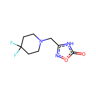 O=c1[nH]c(CN2CCC(F)(F)CC2)no1